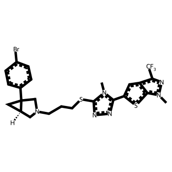 Cn1c(SCCCN2C[C@H]3CC3(c3ccc(Br)cc3)C2)nnc1-c1cc2c(C(F)(F)F)nn(C)c2s1